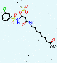 COC(=O)CCCCCCCNC(=O)CC(NS(=O)(=O)c1cccc(Cl)c1)OS(C)(=O)=O